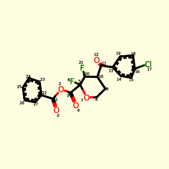 O=C(OC(=O)C1(F)OCCC(C(=O)c2ccc(Cl)cc2)C1F)c1ccccc1